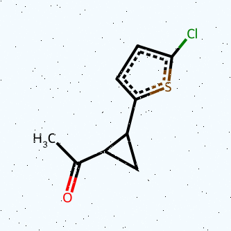 CC(=O)C1CC1c1ccc(Cl)s1